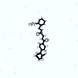 CCCC1CCCCC1CCC(=O)CCC(=O)C1CCC(c2ccccc2C)CC1